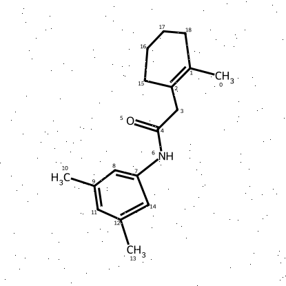 CC1=C(CC(=O)Nc2cc(C)cc(C)c2)CCCC1